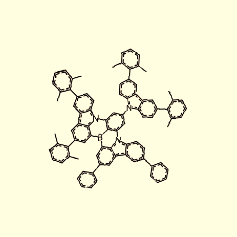 Cc1cccc(C)c1-c1ccc2c(c1)c1cc(-c3c(C)cccc3C)ccc1n2-c1cc2c3c(c1)-n1c4ccc(-c5c(C)cccc5C)cc4c4cc(-c5c(C)cccc5C)cc(c41)B3c1cc(-c3ccccc3)cc3c4cc(-c5ccccc5)ccc4n-2c13